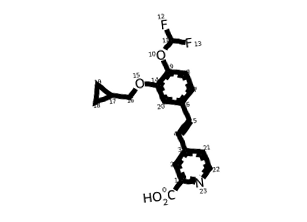 O=C(O)c1cc(/C=C/c2ccc(OC(F)F)c(OCC3CC3)c2)ccn1